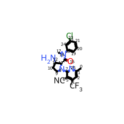 Cc1cc(C(F)(F)F)c(C#N)c(N2CC[C@@H](N)[C@H]2C(=O)N(C)c2cccc(Cl)c2)n1